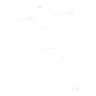 C#CCOc1ccc(C(=O)O)c(OC)c1